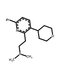 CC(C)c1ccc(C2CCOCC2)c(CCN(C)C)n1